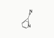 N#CC1c2cccnc21